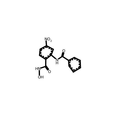 O=C(Nc1cc([N+](=O)[O-])ccc1C(=O)NO)c1ccccc1